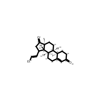 CCC=CC1CC(=O)[C@@]2(C)CC[C@@H]3[C@@H](CCC4=CC(=O)CC[C@@]43C)[C@H]12